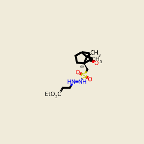 CCOC(=O)CCNNS(=O)(=O)C[C@]12CCC(CC1=O)C2(C)C